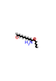 CCCCCC1OC1C(N)C=CCCCCCCCC(C)=O